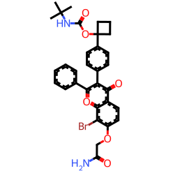 CC(C)(C)NC(=O)OC1(c2ccc(-c3c(-c4ccccc4)oc4c(Br)c(OCC(N)=O)ccc4c3=O)cc2)CCC1